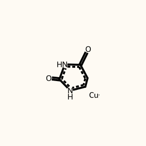 O=c1cc[nH]c(=O)[nH]1.[Cu]